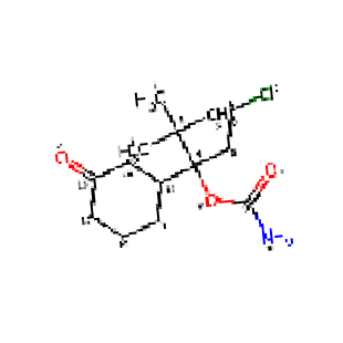 CC(C)(C)C(CCCl)(OC(N)=O)C1CCCC(=O)C1